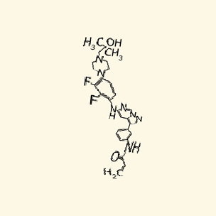 C=CC(=O)Nc1cccc(-c2cnn3cnc(Nc4ccc(N5CCN(CC(C)(C)O)CC5)c(F)c4F)cc23)c1